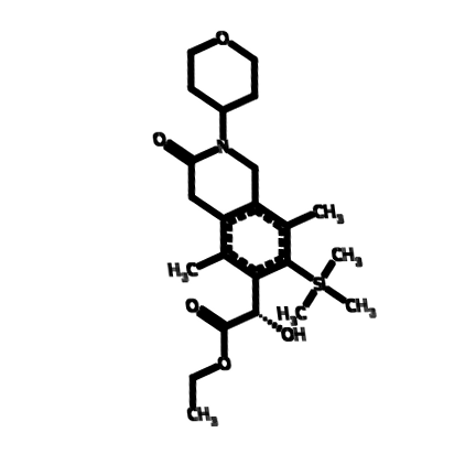 CCOC(=O)[C@@H](O)c1c(C)c2c(c(C)c1[Si](C)(C)C)CN(C1CCOCC1)C(=O)C2